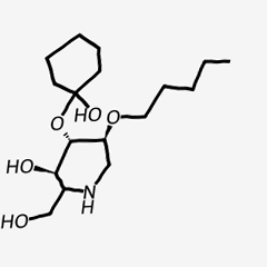 CCCCCO[C@H]1CNC(CO)[C@@H](O)[C@@H]1OC1(O)CCCCC1